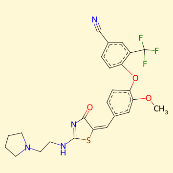 COc1cc(C=C2SC(NCCN3CCCC3)=NC2=O)ccc1Oc1ccc(C#N)cc1C(F)(F)F